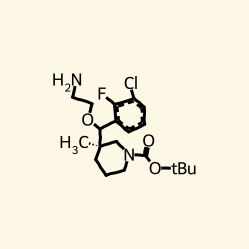 CC(C)(C)OC(=O)N1CCC[C@@](C)(C(OCCN)c2cccc(Cl)c2F)C1